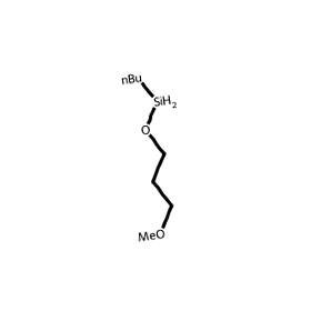 CCCC[SiH2]OCCCOC